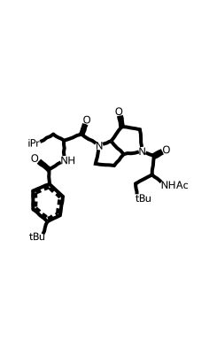 CC(=O)NC(CC(C)(C)C)C(=O)N1CC(=O)C2C1CCN2C(=O)C(CC(C)C)NC(=O)c1ccc(C(C)(C)C)cc1